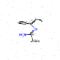 C#CC(=C/C)/N=C(\N)NC